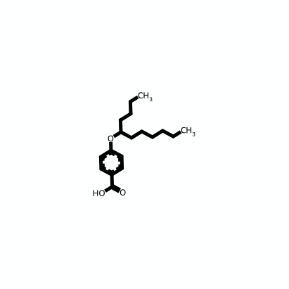 CCCCCCC(CCCC)Oc1ccc(C(=O)O)cc1